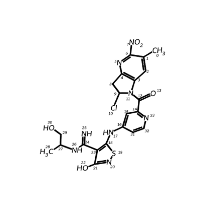 Cc1cc2c(nc1[N+](=O)[O-])CC(Cl)N2C(=O)c1cc(Nc2snc(O)c2C(=N)NC(C)CO)ccn1